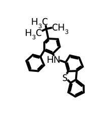 CC(C)(C)c1ccc(Nc2cccc3c2sc2ccccc23)c(-c2ccccc2)c1